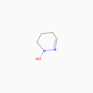 ON1CCCC=N1